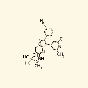 Cc1cc(-c2c(-c3cccc(C#N)c3)nn3ccc(N[C@H](C)C(C)(C)O)nc23)cc(Cl)n1